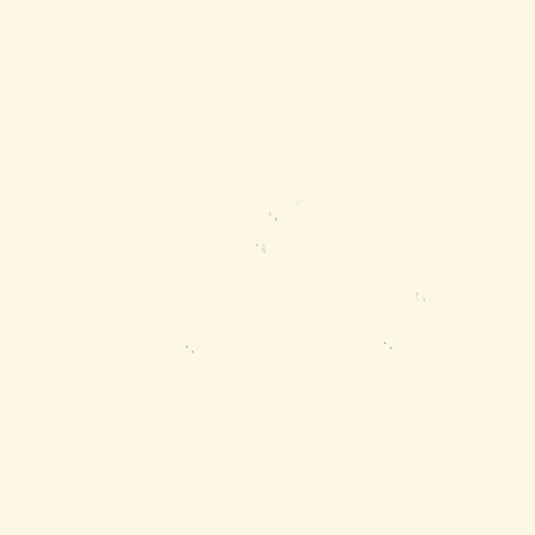 C#CCN([C@@H]1CCc2cc3nc(C)[nH]c(=O)c3cc21)N(Cc1cccc([N+](=O)[O-])c1)C(=O)c1ccccc1